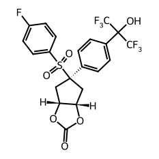 O=C1O[C@H]2C[C@](c3ccc(C(O)(C(F)(F)F)C(F)(F)F)cc3)(S(=O)(=O)c3ccc(F)cc3)C[C@H]2O1